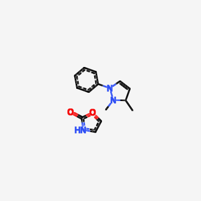 CC1C=CN(c2ccccc2)N1C.O=c1[nH]cco1